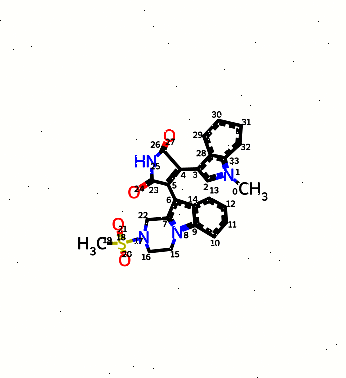 Cn1cc(C2=C(c3c4n(c5ccccc35)CCN(S(C)(=O)=O)C4)C(=O)NC2=O)c2ccccc21